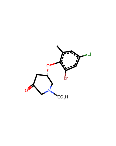 Cc1cc(Cl)cc(Br)c1O[C@H]1CC(=O)CN(C(=O)O)C1